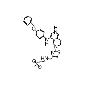 CS(=O)(=O)CCNCc1csc(N2C=CC3=CNC=C(Nc4ccc(OCc5ccccc5)cc4)C3=C2)n1